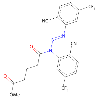 COC(=O)CCCC(=O)N(N=Nc1cc(C(F)(F)F)ccc1C#N)c1cc(C(F)(F)F)ccc1C#N